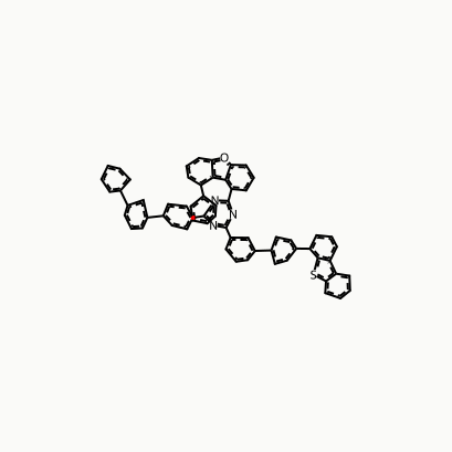 c1ccc(-c2cccc(-c3ccc(-c4nc(-c5cccc(-c6ccc(-c7cccc8c7sc7ccccc78)cc6)c5)nc(-c5cccc6oc7cccc(-c8ccccc8)c7c56)n4)cc3)c2)cc1